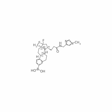 Cn1cnc(CNC(=O)CC[C@@H]2CC(F)(F)[C@@]3(C)CC[C@@H]4c5ccc(B(O)O)cc5CC[C@H]4[C@H]23)c1